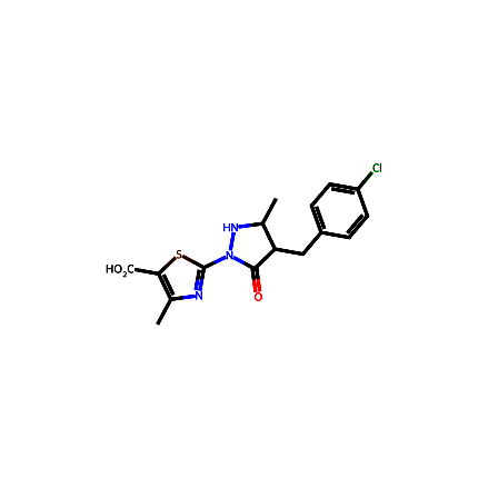 Cc1nc(N2NC(C)C(Cc3ccc(Cl)cc3)C2=O)sc1C(=O)O